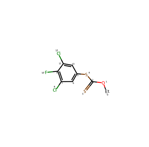 CCOC(=S)Sc1cc(Cl)c(F)c(Cl)c1